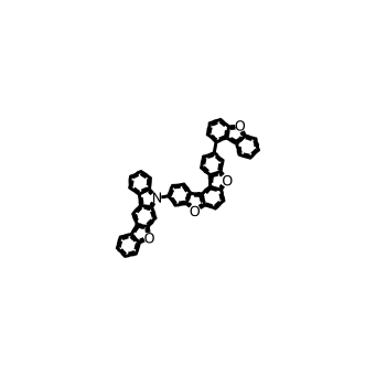 c1ccc2c(c1)oc1cc3c(cc12)c1ccccc1n3-c1ccc2c(c1)oc1ccc3oc4cc(-c5cccc6oc7ccccc7c56)ccc4c3c12